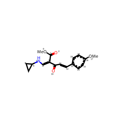 COC(=O)/C(=C\NC1CC1)C(=O)/C=C/c1ccc(OC)cc1